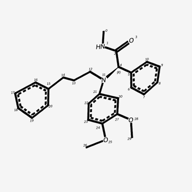 CNC(=O)[C@@H](c1ccccc1)N(CCCc1ccccc1)c1ccc(OC)c(OC)c1